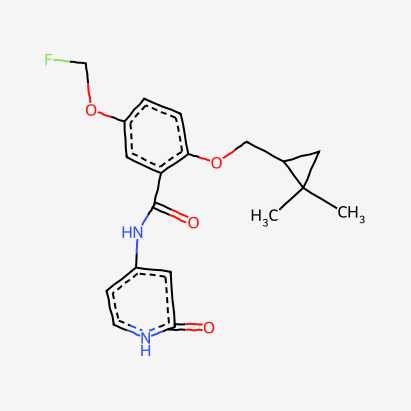 CC1(C)CC1COc1ccc(OCF)cc1C(=O)Nc1cc[nH]c(=O)c1